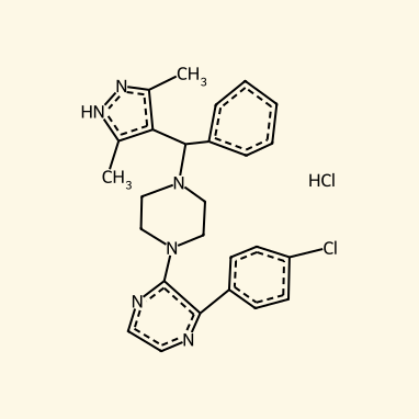 Cc1n[nH]c(C)c1C(c1ccccc1)N1CCN(c2nccnc2-c2ccc(Cl)cc2)CC1.Cl